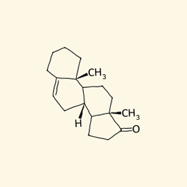 C[C@]12CCCCC1=CC[C@@H]1C2CC[C@]2(C)C(=O)CCC12